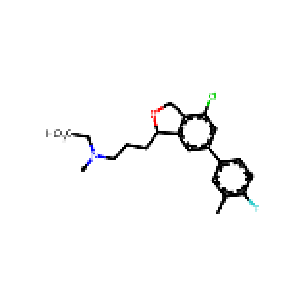 Cc1cc(-c2cc(Cl)c3c(c2)C(CCCN(C)CC(=O)O)OC3)ccc1F